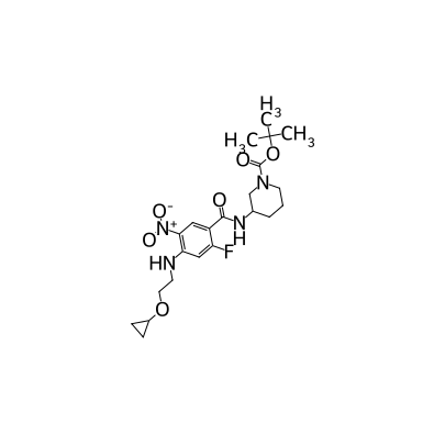 CC(C)(C)OC(=O)N1CCCC(NC(=O)c2cc([N+](=O)[O-])c(NCCOC3CC3)cc2F)C1